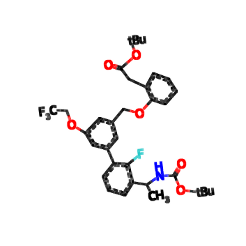 CC(NC(=O)OC(C)(C)C)c1cccc(-c2cc(COc3ccccc3CC(=O)OC(C)(C)C)cc(OCC(F)(F)F)c2)c1F